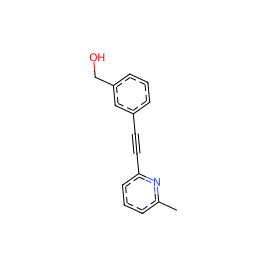 Cc1cccc(C#Cc2cccc(CO)c2)n1